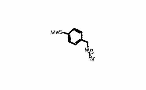 CSc1ccc([CH2][Mg][Br])cc1